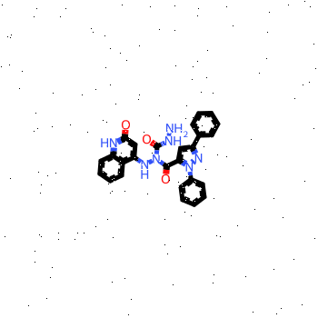 NNC(=O)N(Nc1cc(=O)[nH]c2ccccc12)C(=O)c1cc(-c2ccccc2)nn1-c1ccccc1